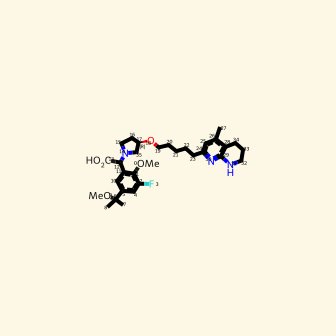 COc1c(F)cc(C(C)(C)OC)cc1C(C(=O)O)N1CC[C@@H](OCCCCCc2cc(C)c3c(n2)NCCC3)C1